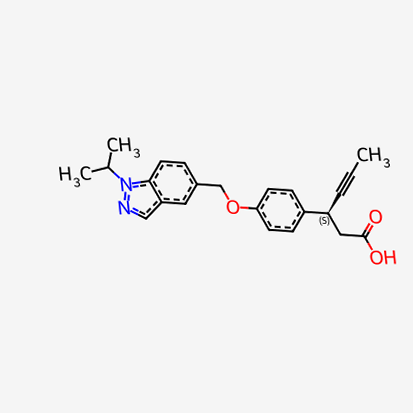 CC#C[C@@H](CC(=O)O)c1ccc(OCc2ccc3c(cnn3C(C)C)c2)cc1